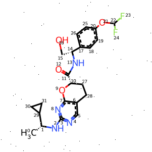 C[C@@H](Nc1ncc2c(n1)O[C@H](C(=O)N[C@H](CO)c1ccc(OC(F)F)cc1)CC2)C1CC1